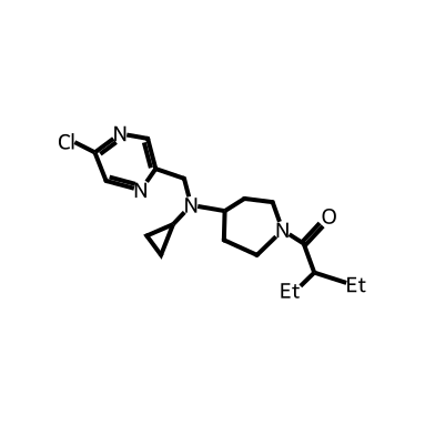 CCC(CC)C(=O)N1CCC(N(Cc2cnc(Cl)cn2)C2CC2)CC1